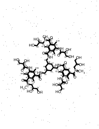 CN(CC(O)CO)C(=O)c1cc(C(=O)NCC2CC(CNC(=O)c3c(I)c(NC(=O)C(O)CO)c(I)c(C(=O)N(C)CC(O)CO)c3I)CC(CNC(=O)c3c(I)c(NC(=O)C(O)CO)c(I)c(C(=O)N(C)CC(O)CO)c3I)C2)c(I)c(NC(=O)C(O)CO)c1I